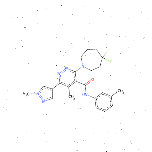 Cc1cccc(NC(=O)c2c(N3CCCC(F)(F)CC3)nnc(-c3cnn(C)c3)c2C)c1